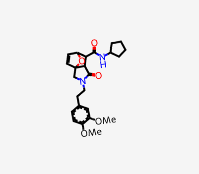 COc1ccc(CCN2CC34C=CC(O3)C(C(=O)NC3CCCC3)C4C2=O)cc1OC